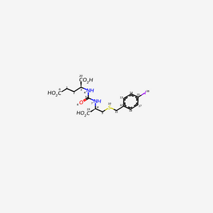 O=C(O)CC[C@H](NC(=O)N[C@@H](CSCc1ccc(I)cc1)C(=O)O)C(=O)O